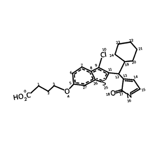 O=C(O)CCCOc1ccc2c(Cl)c(C(C3=CC=NC3=O)C3CCCCC3)sc2c1